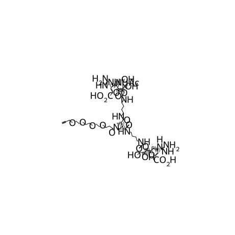 C#CCOCCOCCOCCOCCC(=O)N1C[C@@H](C(=O)NCCCCNC(=O)O[C@@H]([C@@H]2OC(C(=O)O)=C[C@H](NC(=N)N)[C@H]2C)[C@H](O)CO)[C@H](C(=O)NCCCCNC(=O)O[C@@H]([C@@H]2OC(C(=O)O)=C[C@H](NC(=N)N)[C@H]2NC(C)=O)[C@H](O)CO)C1